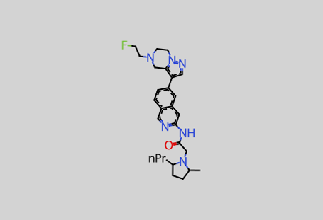 CCCC1CCC(C)N1CC(=O)Nc1cc2cc(-c3cnn4c3CN(CCF)CC4)ccc2cn1